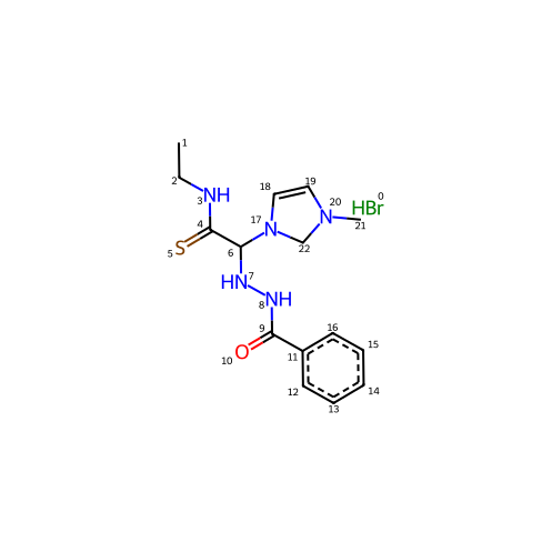 Br.CCNC(=S)C(NNC(=O)c1ccccc1)N1C=CN(C)C1